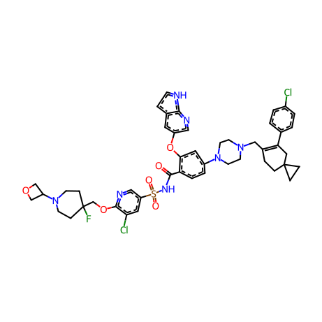 O=C(NS(=O)(=O)c1cnc(OCC2(F)CCN(C3COC3)CC2)c(Cl)c1)c1ccc(N2CCN(CC3=C(c4ccc(Cl)cc4)CC4(CC3)CC4)CC2)cc1Oc1cnc2[nH]ccc2c1